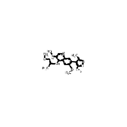 COCC(C)Nc1c(NO)cnc2cc(-c3c(C)noc3C)c(OC)cc12